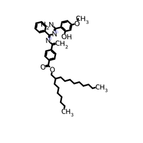 C=C(/N=C(\N=C(/N)c1ccc(OC)cc1O)c1ccccc1)c1ccc(C(=O)OCC(CCCCCCC)CCCCCCCCC)cc1